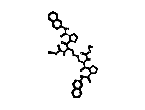 CC(C)(C)OC(=O)NC(CSSCC(NC(=O)OC(C)(C)C)C(=O)N1CCC[C@H]1C(=O)Nc1ccc2ccccc2c1)C(=O)N1CCC[C@H]1C(=O)Nc1ccc2ccccc2c1